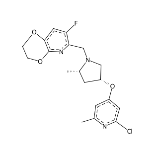 Cc1cc(O[C@@H]2C[C@H](C)N(Cc3nc4c(cc3F)OCCO4)C2)cc(Cl)n1